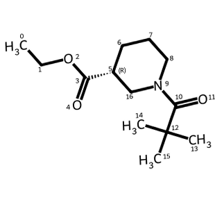 CCOC(=O)[C@@H]1CCCN(C(=O)C(C)(C)C)C1